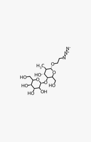 CC1[C@H](OCCN=[N+]=[N-])OC(CO)[C@@H](O[C@@H]2OC(CO)[C@H](O)[C@H](O)C2O)[C@@H]1O